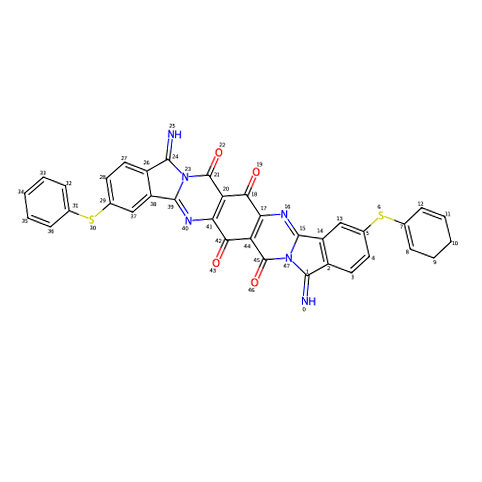 N=c1c2ccc(SC3=CCCC=C3)cc2c2nc3c(=O)c4c(=O)n5c(=N)c6ccc(Sc7ccccc7)cc6c5nc4c(=O)c3c(=O)n12